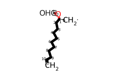 [CH2][C@H](CCCCCCCCC=C)OC=O